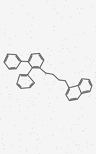 [CH](CCCc1cccc2ccccc12)c1cccc(-c2ccccc2)c1-c1ccccc1